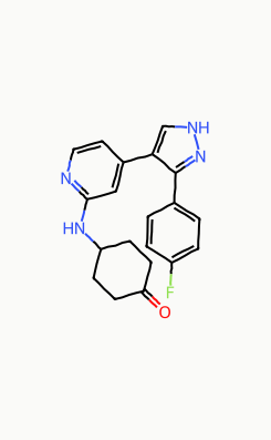 O=C1CCC(Nc2cc(-c3c[nH]nc3-c3ccc(F)cc3)ccn2)CC1